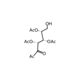 CC(=O)O[C@@H]([C@@H](CO)OC(C)=O)[C@@H](OC(C)=O)C(=O)C(C)=O